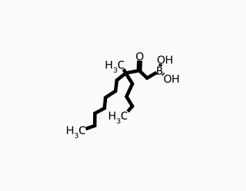 CCCCCCCC(C)(CCCC)C(=O)CB(O)O